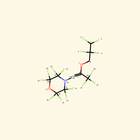 FC(F)C(F)(F)CO/[C](=[Cf]\[N]1C(F)(F)C(F)(F)OC(F)(F)C1(F)F)C(F)(F)F